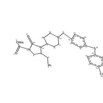 COC(=O)N1CC(CC(C)C)N(C2CCN(Cc3ccc(Sc4ccc(C(=O)O)cc4)nc3)CC2)C1=O